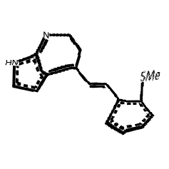 CSc1ccccc1/C=C/C1=c2cc[nH]c2=NCC1